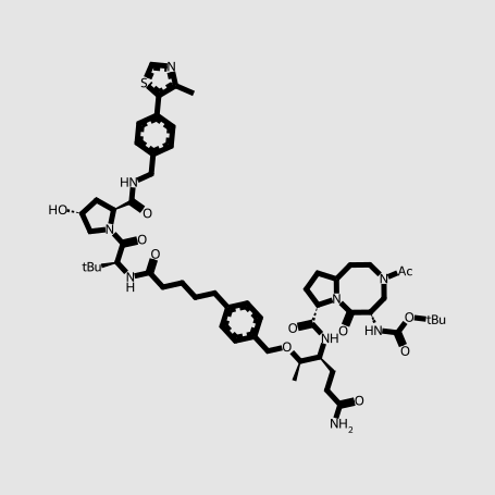 CC(=O)N1CCC2CC[C@@H](C(=O)N[C@@H](CCC(N)=O)[C@@H](C)OCc3ccc(CCCCC(=O)N[C@H](C(=O)N4C[C@H](O)C[C@H]4C(=O)NCc4ccc(-c5scnc5C)cc4)C(C)(C)C)cc3)N2C(=O)[C@@H](NC(=O)OC(C)(C)C)C1